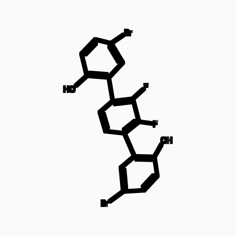 Oc1ccc(Br)cc1-c1ccc(-c2cc(Br)ccc2O)c(F)c1F